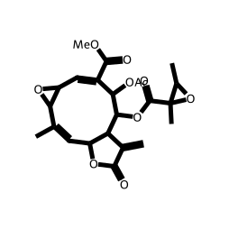 C=C1C(=O)OC2/C=C(/C)C3OC3/C=C(/C(=O)OC)C(OC(C)=O)C(OC(=O)C3(C)OC3C)C12